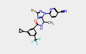 CC(NC(=O)c1cc(C2CC2)cc(C(F)(F)F)c1)c1nc(Br)nn1-c1ccc(C#N)cn1